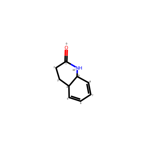 O=C1CCC2C=CC=CC2N1